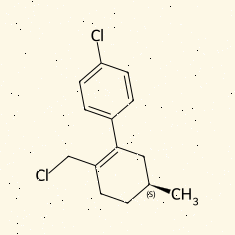 C[C@H]1CCC(CCl)=C(c2ccc(Cl)cc2)C1